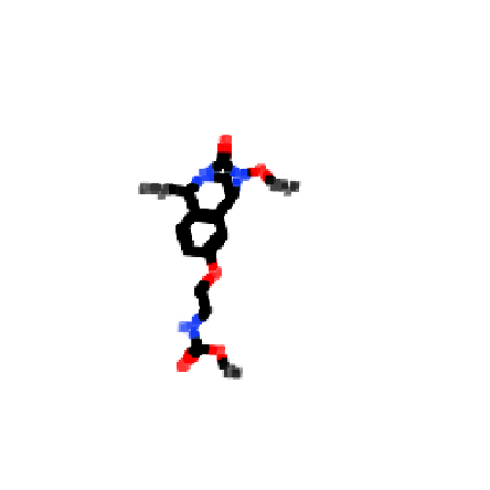 CCOC(=O)C1c2ccc(OCCNC(=O)OC(C)(C)C)cc2C2CN1C(=O)N2OS(=O)(=O)O